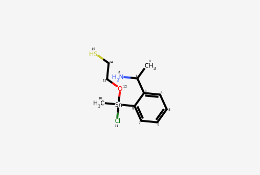 CC(N)c1cccc[c]1[Sn]([CH3])([Cl])[O]CCS